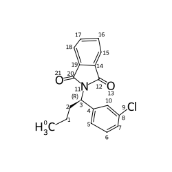 CCC[C@H](c1cccc(Cl)c1)N1C(=O)c2ccccc2C1=O